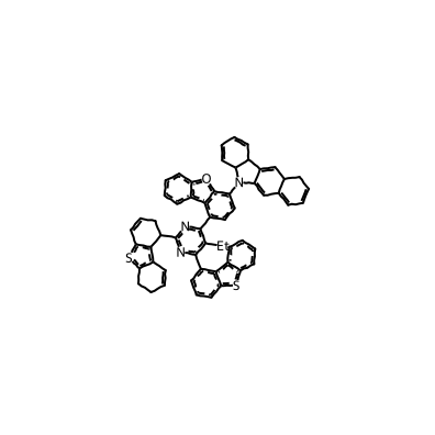 CCc1c(-c2cccc3sc4ccccc4c23)nc(C2CC=Cc3sc4c(c32)C=CCC4)nc1-c1ccc(N2C3=CC4=CC=CCC4C=C3C3C=CC=CC32)c2oc3ccccc3c12